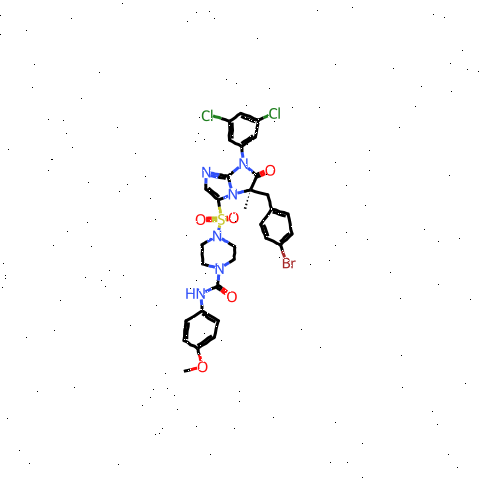 COc1ccc(NC(=O)N2CCN(S(=O)(=O)c3cnc4n3[C@](C)(Cc3ccc(Br)cc3)C(=O)N4c3cc(Cl)cc(Cl)c3)CC2)cc1